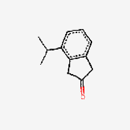 CC(C)c1cccc2c1CC(=O)C2